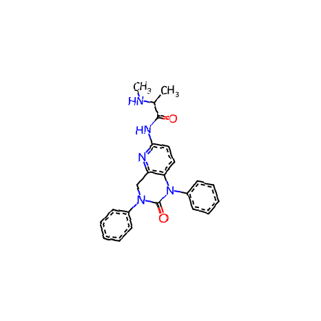 CNC(C)C(=O)Nc1ccc2c(n1)CN(c1ccccc1)C(=O)N2c1ccccc1